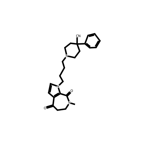 CN1CCC(=O)c2ccn(CCCCN3CCC(C#N)(c4ccccc4)CC3)c2C1=O